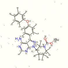 Cc1nc(N)c2c(-c3c(C)c(C)c(Oc4c(C)c(C)c(C)c(C)c4C)c(C)c3C)nn([C@@]3(C)C(C)(C)N(C(=O)OC(C)(C)C)C(C)(C)C(C)(C)C3(C)C)c2n1